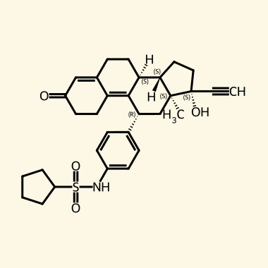 C#C[C@]1(O)CC[C@H]2[C@@H]3CCC4=CC(=O)CCC4=C3[C@@H](c3ccc(NS(=O)(=O)C4CCCC4)cc3)C[C@@]21C